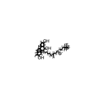 C=C1[C@H](O)C[C@H]2[C@@H]3[C@H](CCCCCN(C)CCC[S+]([O-])CCCC(F)(F)C(F)(F)F)[C@H](O)c4cc(O)ccc4[C@H]3CC[C@]12C